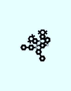 Cc1cc2c(cc1N1c3cc4c(cc3B3c5c(cc6oc7ccccc7c6c51)-c1cc(-c5ccccc5)ccc1N3c1ccc(-c3ccccc3)cc1)C(C)(C)CCC4(C)C)C(C)(C)CCC2(C)C